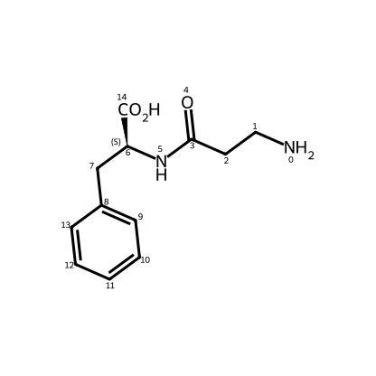 NCCC(=O)N[C@@H](Cc1ccccc1)C(=O)O